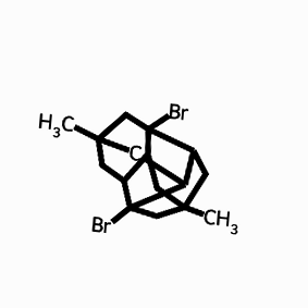 CC12CC3C4CC5(C)CC(C(C1)C3(Br)C5)C4(Br)C2